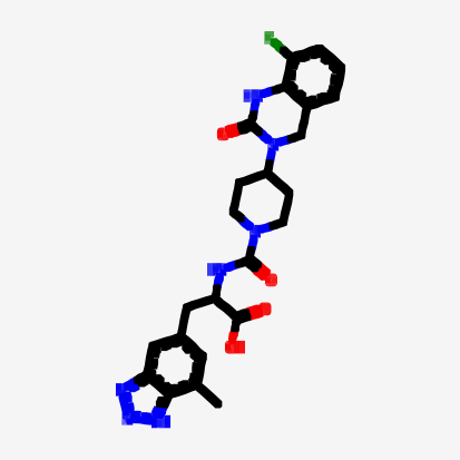 Cc1cc(CC(NC(=O)N2CCC(N3Cc4cccc(F)c4NC3=O)CC2)C(=O)O)cc2nn[nH]c12